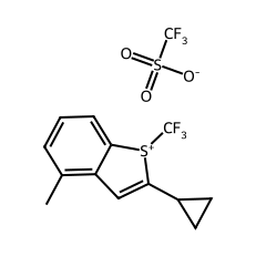 Cc1cccc2c1cc(C1CC1)[s+]2C(F)(F)F.O=S(=O)([O-])C(F)(F)F